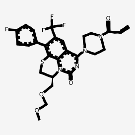 C=CC(=O)N1CCN(c2nc(=O)n3c4c(c(-c5ccc(F)cc5)c(C(F)(F)F)cc24)SC[C@@H]3COCOC)CC1